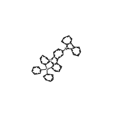 c1ccc([Si](c2ccccc2)(c2ccccc2)c2cccc3c2oc2ccc(-n4c5ccccc5c5ccccc54)cc23)cc1